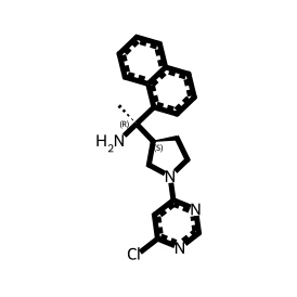 C[C@](N)(c1cccc2ccccc12)[C@H]1CCN(c2cc(Cl)ncn2)C1